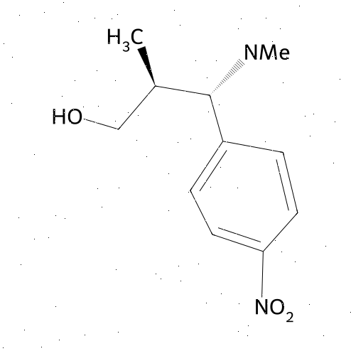 CN[C@H](c1ccc([N+](=O)[O-])cc1)[C@H](C)CO